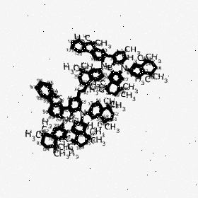 Cc1cc2c3c(c1)N(c1ccc4c(c1)C(C)(C)CCC4(C)C)c1cc4c(cc1B3N(c1ccc3c(c1)C(C)(C)CCC3(C)CCc1cc3c5c(c1)N(c1ccc6c(c1)C(C)(C)CCC6(C)C)c1cc6c(cc1B5N(c1ccc5c(c1)C(C)(C)CCC5(C)C)c1ccc5c(sc7ccccc75)c1-3)C(C)(C)CCC6(C)C)c1cc3c(cc1-2)C(C)(C)c1ccccc1-3)C(C)(C)CCC4(C)C